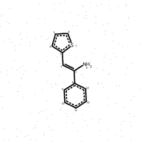 N/C(=C\c1cccs1)c1ccccc1